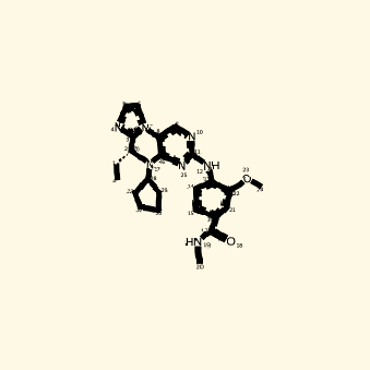 CC[C@@H]1c2nccn2-c2cnc(Nc3ccc(C(=O)NC)cc3OC)nc2N1C1CCCC1